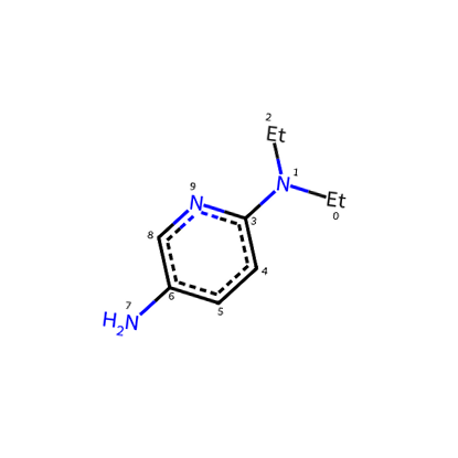 CCN(CC)c1ccc(N)cn1